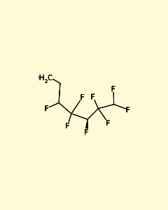 [CH2]CC(F)C(F)(F)[C@H](F)C(F)(F)C(F)F